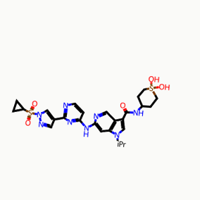 CC(C)n1cc(C(=O)NC2CCS(O)(O)CC2)c2cnc(Nc3ccnc(-c4cnn(S(=O)(=O)C5CC5)c4)n3)cc21